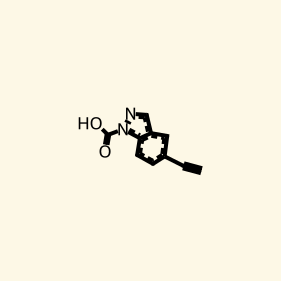 C#Cc1ccc2c(cnn2C(=O)O)c1